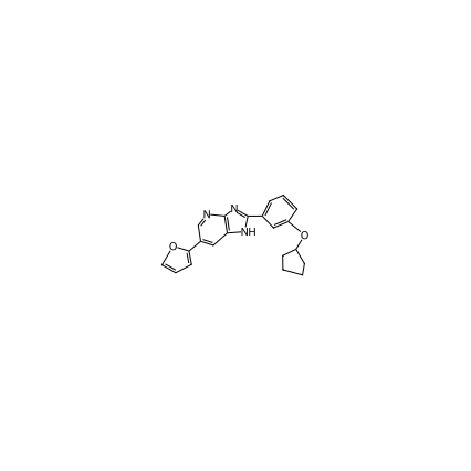 c1cc(OC2CCCC2)cc(-c2nc3ncc(-c4ccco4)cc3[nH]2)c1